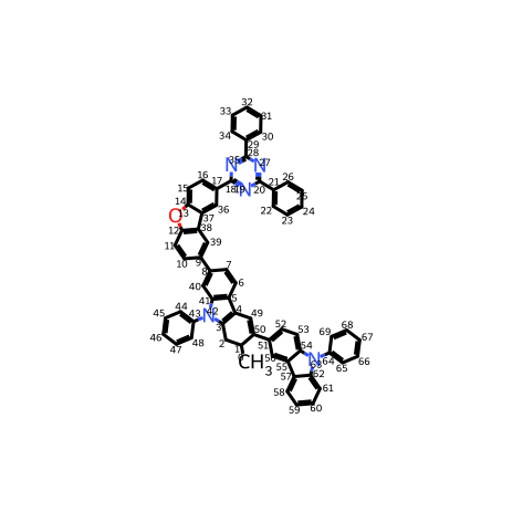 CC1Cc2c(c3ccc(-c4ccc5oc6ccc(-c7nc(-c8ccccc8)nc(-c8ccccc8)n7)cc6c5c4)cc3n2-c2ccccc2)C=C1c1ccc2c(c1)c1ccccc1n2-c1ccccc1